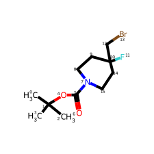 CC(C)(C)OC(=O)N1CCC(F)(CBr)CC1